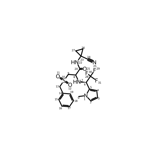 Cn1cccc1[C@@H](NC(CS(=O)(=O)Cc1ccccc1)C(=O)NC1(C#N)CC1)C(F)(F)F